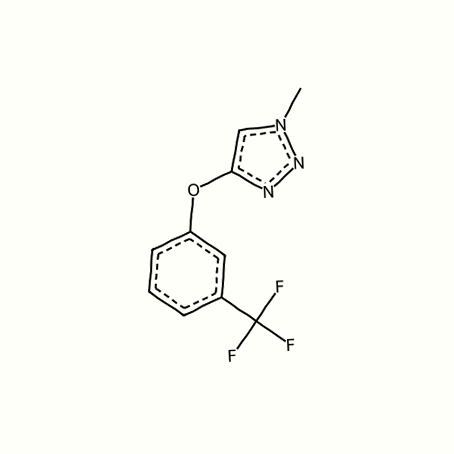 Cn1cc(Oc2cccc(C(F)(F)F)c2)nn1